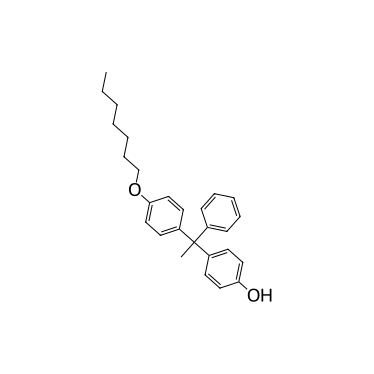 CCCCCCCOc1ccc(C(C)(c2ccccc2)c2ccc(O)cc2)cc1